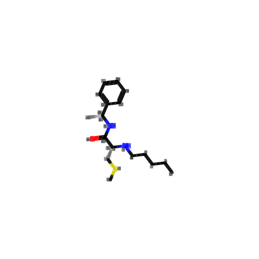 CCCCCN[C@H](CSC)C(=O)N[C@H](C)c1ccccc1